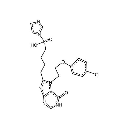 O=c1[nH]cnc2nc(CCCCP(=O)(O)n3ccnc3)n(CCOc3ccc(Cl)cc3)c12